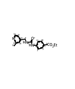 CCOC(=O)c1ccc(NC(=O)NCc2ccnc(C)c2)cc1